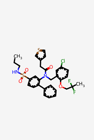 CCCNS(=O)(=O)c1ccc(-c2ccccc2)c(N(Cc2cc(Cl)ccc2OCC(C)(F)F)C(=O)Cc2ccsc2)c1